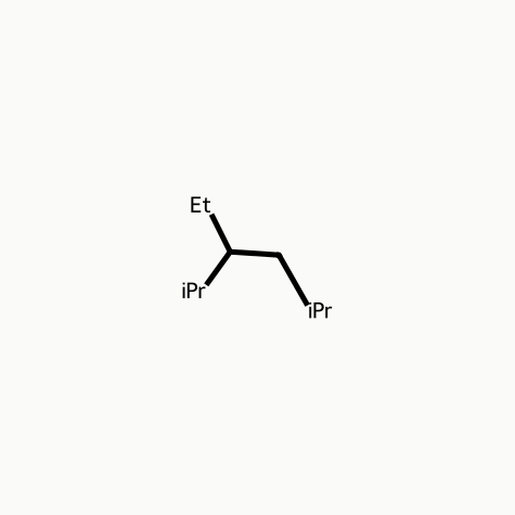 CCC(CC(C)C)C(C)C